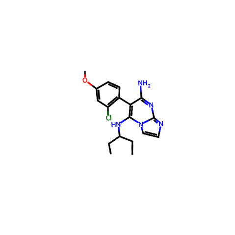 CCC(CC)Nc1c(-c2ccc(OC)cc2Cl)c(N)nc2nccn12